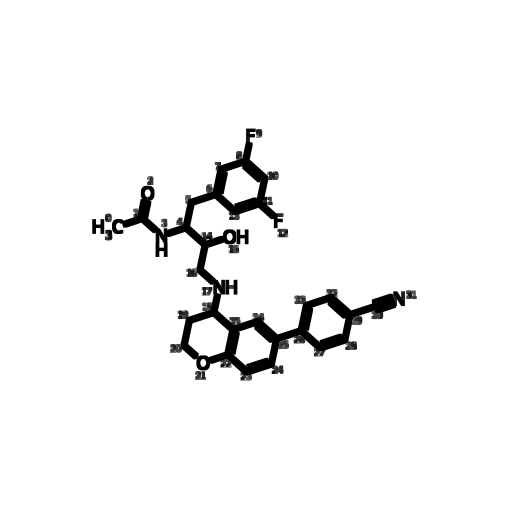 CC(=O)NC(Cc1cc(F)cc(F)c1)C(O)CNC1CCOc2ccc(-c3ccc(C#N)cc3)cc21